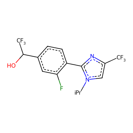 CC(C)n1cc(C(F)(F)F)nc1-c1ccc(C(O)C(F)(F)F)cc1F